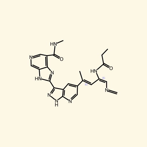 C=N/C=C(\C=C(/C)c1cnc2[nH]nc(-c3nc4c(C(=O)NC)cncc4[nH]3)c2c1)NC(=O)CC